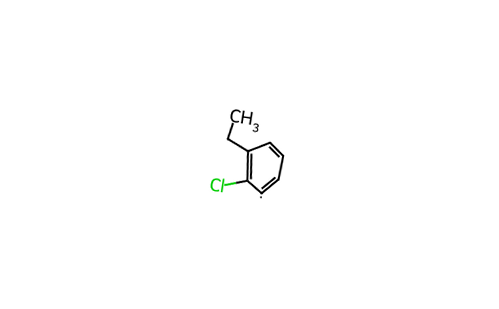 CCc1ccc[c]c1Cl